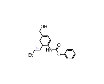 CC/C=C/C1CC(CO)=CC=C1NC(=O)Oc1ccccc1